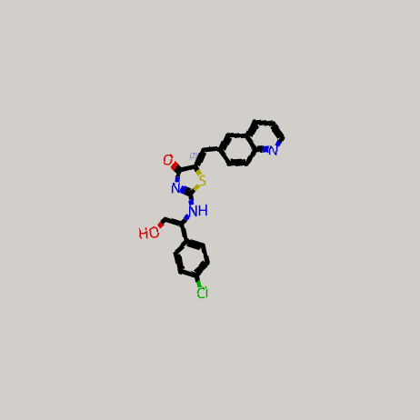 O=C1N=C(NC(CO)c2ccc(Cl)cc2)S/C1=C\c1ccc2ncccc2c1